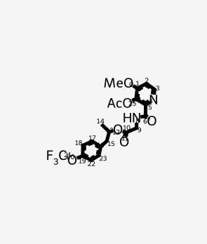 COc1ccnc(C(=O)NCC(=O)OC(C)Cc2ccc(OC(F)(F)F)cc2)c1OC(C)=O